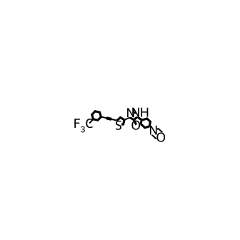 FC(F)(F)c1cccc(C#Cc2cc(-c3n[nH]c4c3oc3cc(N5CCOCC5)ccc34)cs2)c1